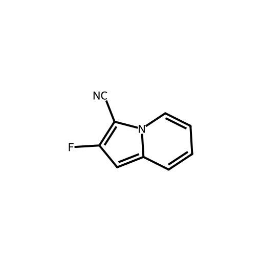 N#Cc1c(F)cc2ccccn12